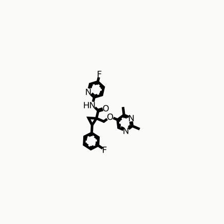 Cc1ncc(OCC2(C(=O)Nc3ccc(F)cn3)CC2c2cccc(F)c2)c(C)n1